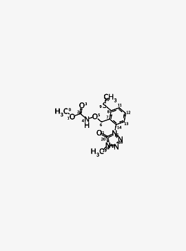 COC(=O)NOCc1c(SC)cccc1-n1nnn(C)c1=O